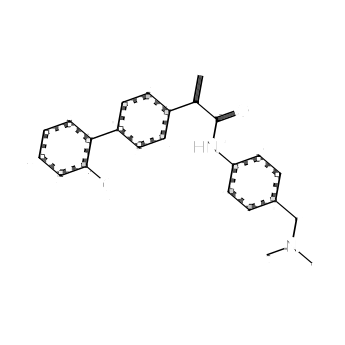 C=C(C(=O)Nc1ccc(CN(C)C)cc1)c1ccc(-c2ccccc2Cl)cc1